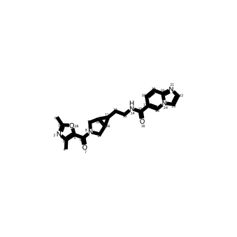 Cc1nc(C)c(C(=O)N2CC3C(CCNC(=O)c4ccc5nccn5c4)C3C2)o1